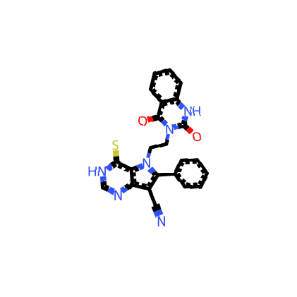 N#Cc1c(-c2ccccc2)n(CCn2c(=O)[nH]c3ccccc3c2=O)c2c(=S)[nH]cnc12